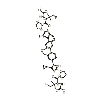 COC(=O)N[C@H](C(=O)N1[C@@H](C)CC[C@H]1c1nc(C2CC2)c(-c2ccc3c(c2)COc2cc4c(ccc5nc([C@@H]6CC[C@H](C)N6C(=O)[C@@H](NC(=O)OC)C(C)(C)CF)[nH]c54)cc2-3)[nH]1)C(C)(C)CF